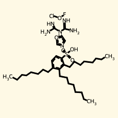 CCCCCCCCc1ccc(S(=O)(=O)O)c(CCCCCCCC)c1CCCCCCCC.FOCl.N=C(N)NC(=N)N.c1cocn1